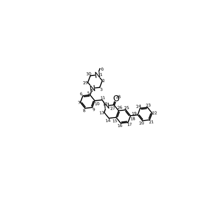 CN1CCN(c2ccccc2CN2CCc3ccc(-c4ccccc4)cc3C2=O)CC1